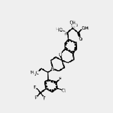 CCC(c1cc(C(F)(F)F)cc(Cl)c1F)N1CCC2(CCc3ccc([C@H](O)[C@H](C)C(=O)O)cc3O2)CC1